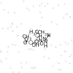 CCOC(=O)[C@H]1CC[C@@](O)(c2ccc(NC(=O)c3nc(C#N)c[nH]3)c(C3=CCC(C)(C)CC3)c2)CC1